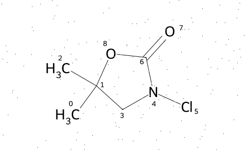 CC1(C)CN(Cl)C(=O)O1